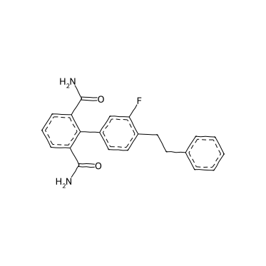 NC(=O)c1cccc(C(N)=O)c1-c1ccc(CCc2ccccc2)c(F)c1